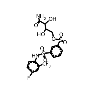 NC(=O)C(O)C(O)COS(=O)(=O)c1cccc(S(=O)(=O)Nc2ccc(F)cc2C(F)(F)F)c1